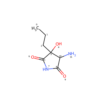 CCCC1(O)C(=O)NC(=O)C1N